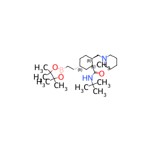 CC(C)(C)NC(=O)[C@@]1(C)C[C@H](CCB2OC(C)(C)C(C)(C)O2)CC[C@H]1CN1CCCCC1